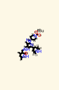 Cc1cc(C)c(CNCc2cc(C3=CC(C)(C)NC(C)(C)C3)nc3c2cnn3C2CCN(C(=O)OC(C)(C)C)CC2)c(=O)[nH]1